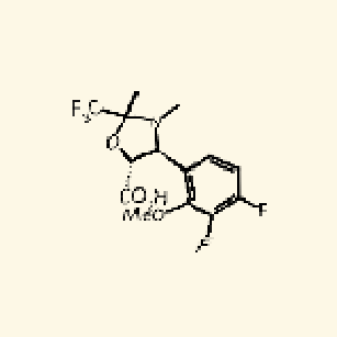 COc1c([C@H]2[C@H](C(=O)O)OC(C)(C(F)(F)F)N2C)ccc(F)c1F